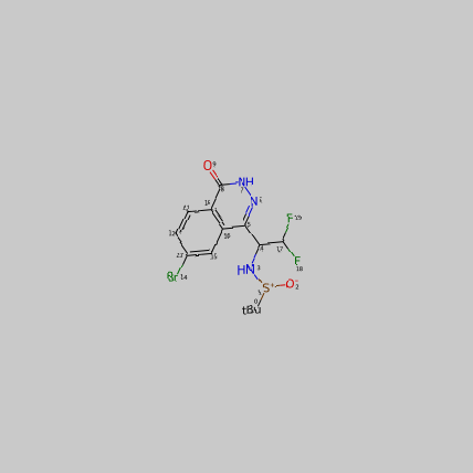 CC(C)(C)[S+]([O-])NC(c1n[nH]c(=O)c2ccc(Br)cc12)C(F)F